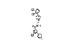 CCn1c(-c2ccc(C)cc2)cc(C(=O)NCCN2CCN(c3cccc(Cl)c3Cl)CC2)c1C